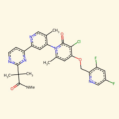 CNC(=O)C(C)(C)c1nccc(-c2cc(-n3c(C)cc(OCc4ncc(F)cc4F)c(Cl)c3=O)c(C)cn2)n1